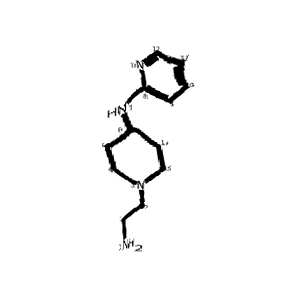 NCCN1CCC(Nc2ccccn2)CC1